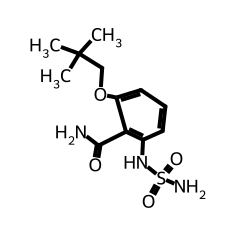 CC(C)(C)COc1cccc(NS(N)(=O)=O)c1C(N)=O